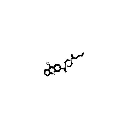 C=CCCC(=C)N1CCN(C(=C)c2ccc3c(Cl)c4c(nc3c2)CCC4)CC1